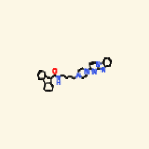 O=C(NCCCCN1CCN(c2ccn3c(n2)nc2ccccc23)CC1)C1c2ccccc2-c2ccccc21